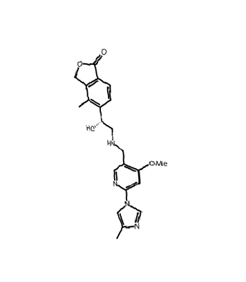 COc1cc(-n2cnc(C)c2)ncc1CNC[C@H](O)c1ccc2c(c1C)COC2=O